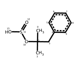 CC(C)(Cc1ccccc1)OS(=O)O